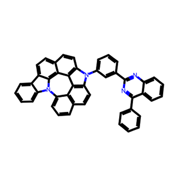 c1ccc(-c2nc(-c3cccc(-n4c5ccc6cccc7c6c5c5c6c(ccc8c9ccccc9n7c86)ccc54)c3)nc3ccccc23)cc1